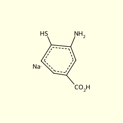 Nc1cc(C(=O)O)ccc1S.[Na]